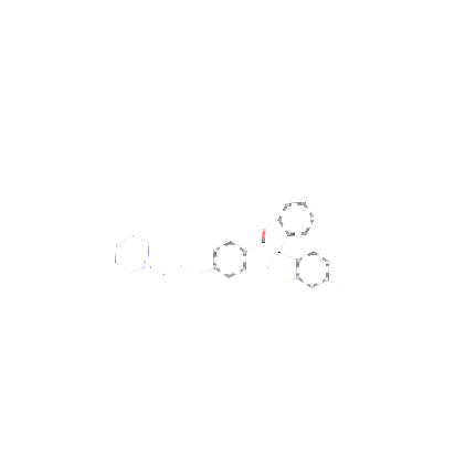 O=C(c1ccc(OCCN2CCCCC2)cc1)C1(c2ccc(O)cc2)CSc2cc(O)ccc21